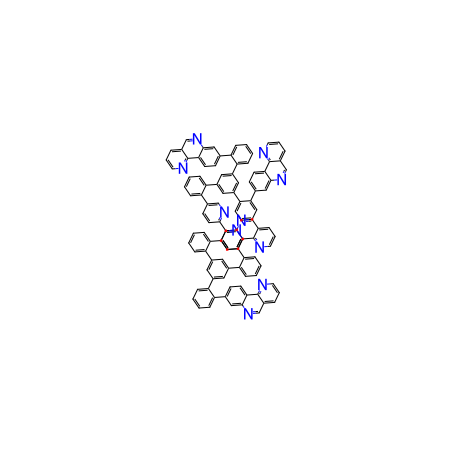 c1ccc(-c2cc(-c3ccccc3-c3ccc4c(c3)ncc3cccnc34)cc(-c3ccccc3-c3ccc4c(c3)ncc3cccnc34)c2)c(-c2ccc(-c3ccc(-c4ccccc4-c4cc(-c5ccccc5-c5ccc6c(c5)ncc5cccnc56)cc(-c5ccccc5-c5ccc6c(c5)ncc5cccnc56)c4)cn3)nc2)c1